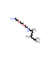 CC(C)=CCCC(C)=CCCC(C)=CCNCCCOCCCOCCCN